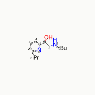 CC(C)c1cccc([C@@H](O)CNC(C)(C)C)n1